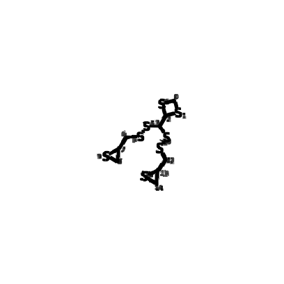 C1SC(C(SSCC2CS2)SSCC2CS2)S1